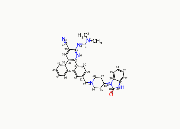 CN(C)C=Nc1nc(-c2ccc(CN3CCC(n4c(=O)[nH]c5ccccc54)CC3)cc2)c(-c2ccccc2)cc1C#N